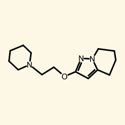 c1c(OCCN2CCCCC2)nn2c1CCCC2